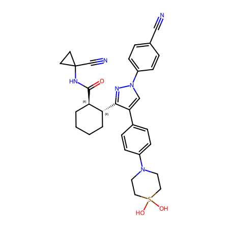 N#Cc1ccc(-n2cc(-c3ccc(N4CCS(O)(O)CC4)cc3)c([C@@H]3CCCC[C@H]3C(=O)NC3(C#N)CC3)n2)cc1